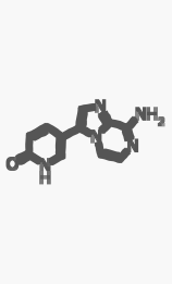 Nc1nccn2c(-c3ccc(=O)[nH]c3)cnc12